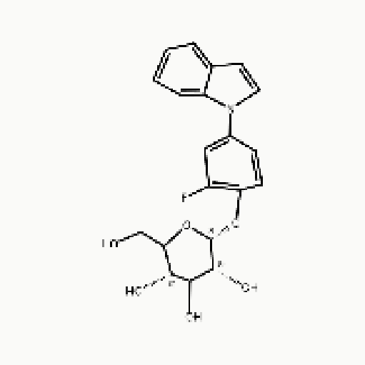 OCC1O[C@H](Oc2ccc(-n3ccc4ccccc43)cc2F)[C@H](O)C(O)[C@@H]1O